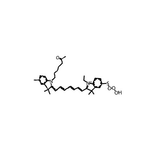 CC[N+]1=C(/C=C/C=C/C=C/C=C2\N(CCCCCC(C)=O)c3ccc(C)cc3C2(C)C)C(C)(C)c2cc(SOOO)ccc21